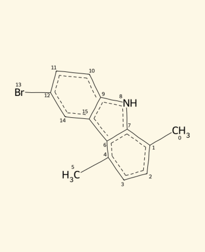 Cc1ccc(C)c2c1[nH]c1ccc(Br)cc12